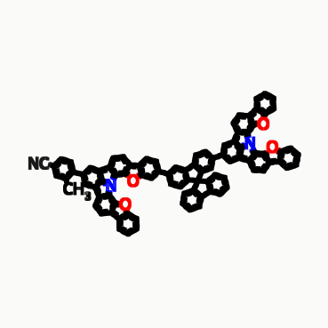 Cc1cc(C#N)ccc1-c1cc2c3ccc4c5ccccc5oc4c3n3c2c(c1)c1ccc2c4ccc(-c5ccc6c(c5)-c5ccc(-c7cc8c9ccc%10c%11ccccc%11oc%10c9n9c8c(c7)c7ccc8c%10ccccc%10oc8c79)cc5C65c6ccccc6-c6ccccc65)cc4oc2c13